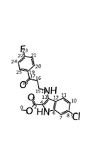 COC(=O)c1[nH]c2cc(Cl)ccc2c1NCCC(=O)c1ccc(F)cc1